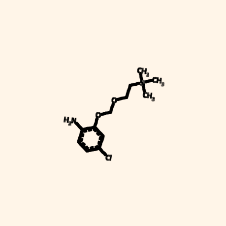 C[Si](C)(C)CCOCOc1cc(Cl)ccc1N